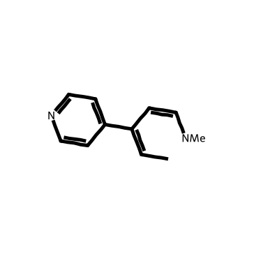 C/C=C(\C=C/NC)c1ccncc1